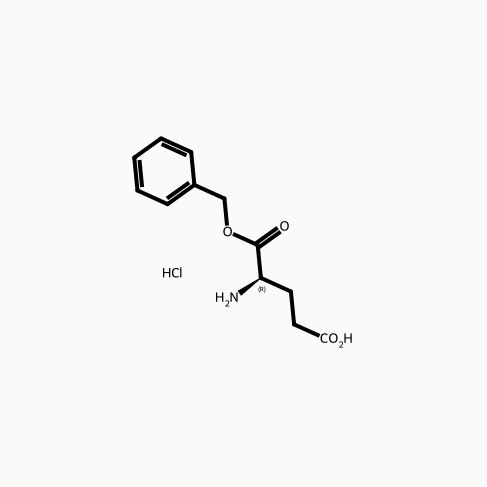 Cl.N[C@H](CCC(=O)O)C(=O)OCc1ccccc1